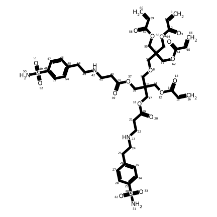 C=CC(=O)OCC(COCC(COC(=O)C=C)(COC(=O)CCNCCc1ccc(S(N)(=O)=O)cc1)COC(=O)CCNCCc1ccc(S(N)(=O)=O)cc1)(COC(=O)C=C)COC(=O)C=C